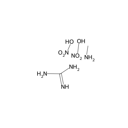 CN.N=C(N)N.O=[N+]([O-])O.O=[N+]([O-])O